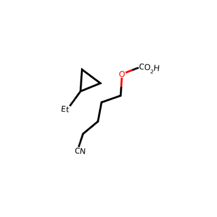 CCC1CC1.N#CCCCCOC(=O)O